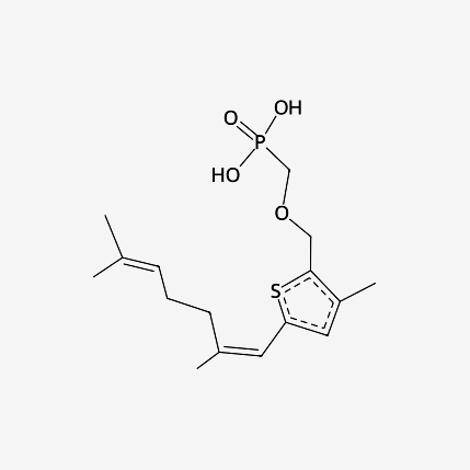 CC(C)=CCCC(C)=Cc1cc(C)c(COCP(=O)(O)O)s1